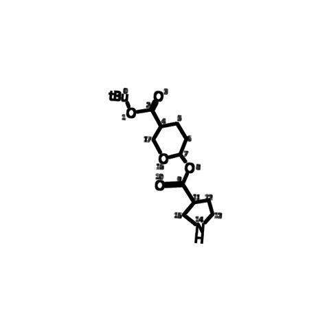 CC(C)(C)OC(=O)C1CCC(OC(=O)C2CCNC2)OC1